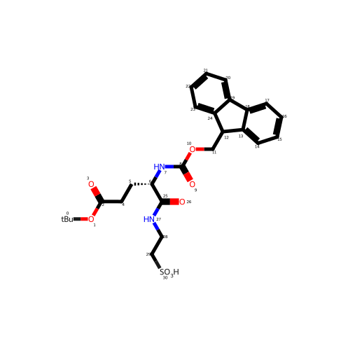 CC(C)(C)OC(=O)CC[C@H](NC(=O)OCC1c2ccccc2-c2ccccc21)C(=O)NCCS(=O)(=O)O